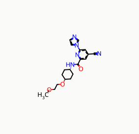 COCCO[C@H]1CC[C@H](NC(=O)c2cc(C#N)cc(-n3ccnc3)n2)CC1